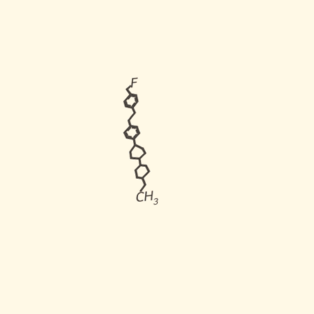 CCCC1CCC(C2CCC(c3ccc(CCc4ccc(CF)cc4)cc3)CC2)CC1